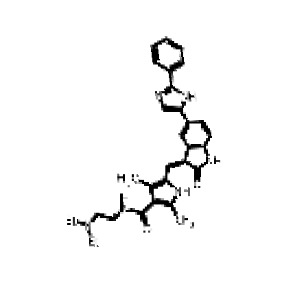 CCN(CC)CCNC(=O)c1c(C)[nH]c(/C=C2\C(=O)Nc3ccc(-c4cnc(-c5ccccc5)[nH]4)cc32)c1C